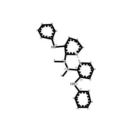 CN(c1ncccc1Nc1ccccc1)N(C)c1ncccc1Nc1ccccc1